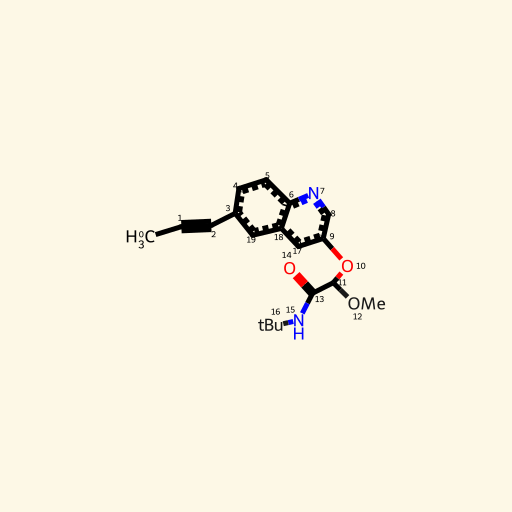 CC#Cc1ccc2ncc(OC(OC)C(=O)NC(C)(C)C)cc2c1